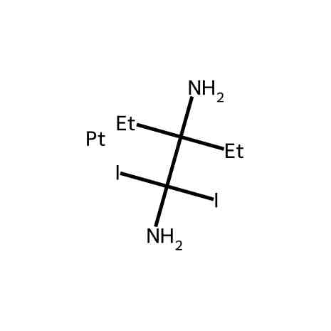 CCC(N)(CC)C(N)(I)I.[Pt]